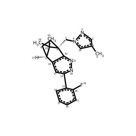 Cc1cnn(C[C@]23CC[C@H](c4cc(-c5ccccc5F)nnc42)C3(C)C)c1